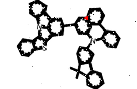 CC1(C)c2ccccc2-c2cc(N(c3cccc(-c4cc5c6ccccc6n6c5c(c4)c4sc5ccccc5c46)c3)c3ccccc3-c3ccccc3)ccc21